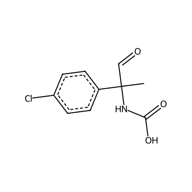 CC(C=O)(NC(=O)O)c1ccc(Cl)cc1